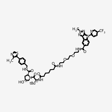 Cc1ncsc1-c1ccc(CNC(=O)[C@@H]2C[C@@H](O)CN2C(=O)[C@@H](NC(=O)CCCCCC(=O)NCCOCCOCCNC(=O)c2ccc3c(c2)c2nn(C)nc2n3-c2ccc(C(F)(F)F)cn2)C(C)(C)C)cc1